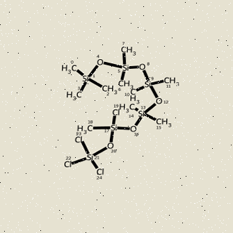 C[Si](C)(C)O[Si](C)(C)O[Si](C)(C)O[Si](C)(C)O[Si](C)(Cl)O[Si](Cl)(Cl)Cl